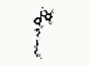 CN1Cc2c(Cl)cc(Cl)cc2[C@H](c2cccc([S+]([O-])NCCOCCOCCN)c2)C1